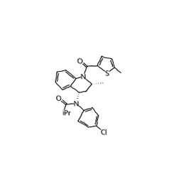 Cc1ccc(C(=O)N2c3ccccc3[C@@H](N(C(=O)C(C)C)c3ccc(Cl)cc3)C[C@H]2C)s1